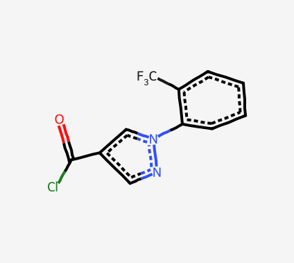 O=C(Cl)c1cnn(-c2ccccc2C(F)(F)F)c1